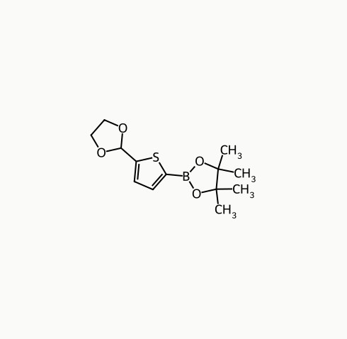 CC1(C)OB(c2ccc(C3OCCO3)s2)OC1(C)C